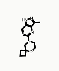 Cc1n[nH]c2cnc(N3CCOC4(CCC4)C3)nc12